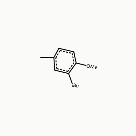 CCC(C)c1cc(C)ccc1OC